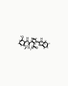 COc1cccc(OC)c1NC(=O)c1ncn(-c2nc3ccccc3[nH]2)c1C(N)=O